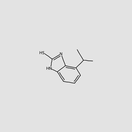 CC(C)c1cccc2[nH]c(S)nc12